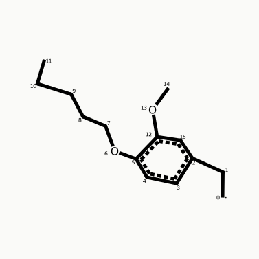 [CH2]Cc1ccc(OCCCCC)c(OC)c1